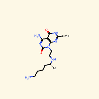 CNc1nc2c(c(N)nc(=O)n2CCN[C@@H](CCCCN)C(C)=O)c(=O)[nH]1